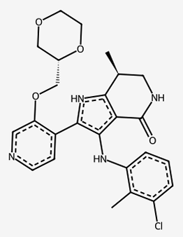 Cc1c(Cl)cccc1Nc1c(-c2ccncc2OC[C@@H]2COCCO2)[nH]c2c1C(=O)NC[C@@H]2C